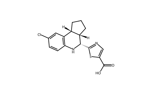 O=C(O)c1cnc([C@@H]2Nc3ccc(Cl)cc3[C@@H]3CCC[C@@H]32)s1